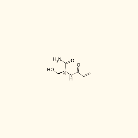 C=CC(=O)N[C@@H](CO)C(N)=O